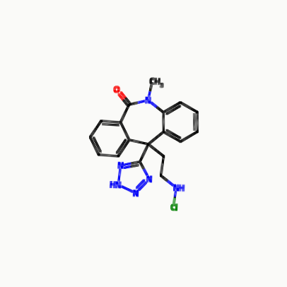 CN1C(=O)c2ccccc2C(CCNCl)(c2nn[nH]n2)c2ccccc21